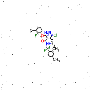 CC(/C(C(=O)NCC(F)(F)c1ccc(C)cc1C)=C(\N)Oc1cccc(C2CC2)c1F)=C(/N)Cl